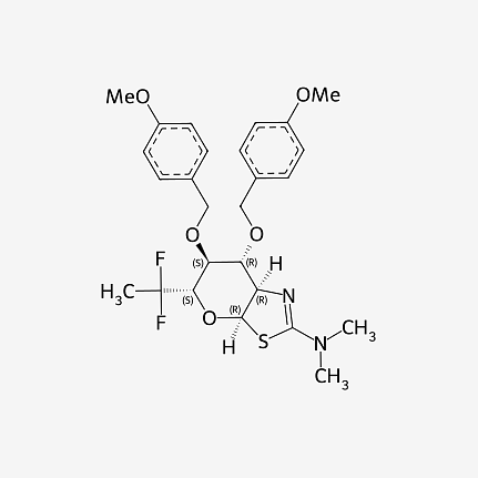 COc1ccc(CO[C@@H]2[C@H]3N=C(N(C)C)S[C@H]3O[C@H](C(C)(F)F)[C@H]2OCc2ccc(OC)cc2)cc1